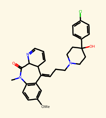 COc1ccc2c(c1)/C(=C/CCN1CCC(O)(c3ccc(Cl)cc3)CC1)C1C=CC=NC1C(=O)N2C